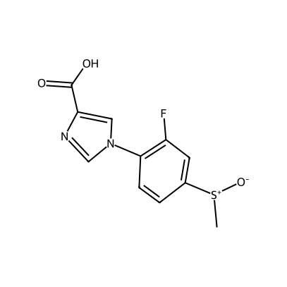 C[S+]([O-])c1ccc(-n2cnc(C(=O)O)c2)c(F)c1